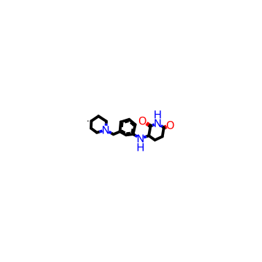 O=C1CCC(Nc2cccc(CN3CC[CH]CC3)c2)C(=O)N1